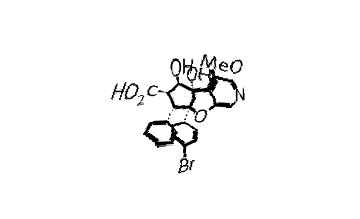 COc1cncc2c1[C@]1(O)[C@H](O)[C@H](C(=O)O)[C@@H](c3ccccc3)[C@]1(C1C=CC(Br)=CC1)O2